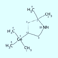 CC1(C)C[CH]([Ge]([CH3])([CH3])[CH3])CN1